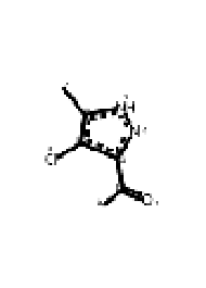 CC(=O)c1n[nH]c(C)c1Cl